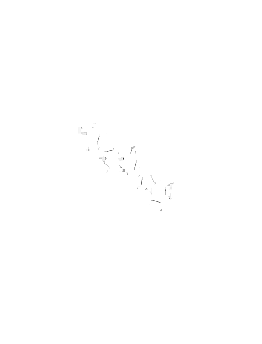 Cc1cn2cc(-c3cc(=O)n4cc(C5=CCNCC5)ncc4n3)cc2c(C)n1